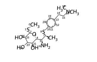 CSC1O[C@H]([C@H](N)[C@H](C)Sc2ccc(CCN(C)C)cc2)[C@@H](O)C(O)[C@H]1O